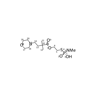 CNP(=O)(O)SCCOC(=O)C(C)(C)CCN1CCOCC1